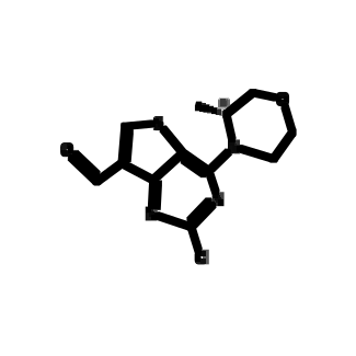 C[C@@H]1COCCN1c1nc(Cl)nc2c(C=O)csc12